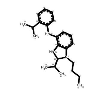 CCCCN1c2cccc(Nc3ccccc3C(C)C)c2NC1C(C)C